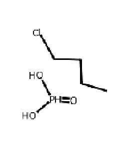 CCCCCl.O=[PH](O)O